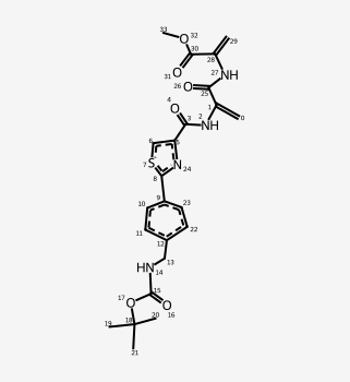 C=C(NC(=O)c1csc(-c2ccc(CNC(=O)OC(C)(C)C)cc2)n1)C(=O)NC(=C)C(=O)OC